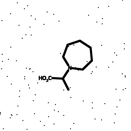 CC(C(=O)O)N1CCCCCC1